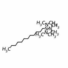 CCCCCCCCCCCC[Si](N(C)C)(N(C)C)N(C)C